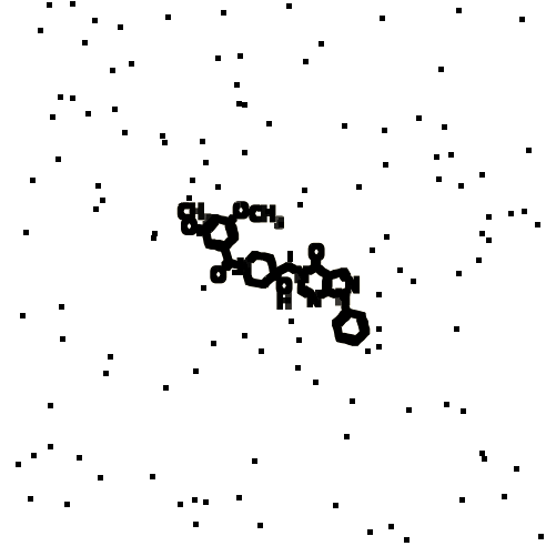 COc1cc(OC)cc(C(=O)N2CCC(O)(Cn3cnc4c(cnn4-c4ccccc4)c3=O)CC2)c1